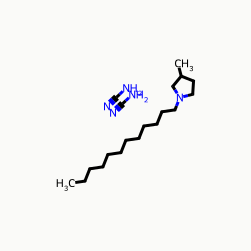 CCCCCCCCCCCCN1CCC(C)C1.N#CN.N#CN